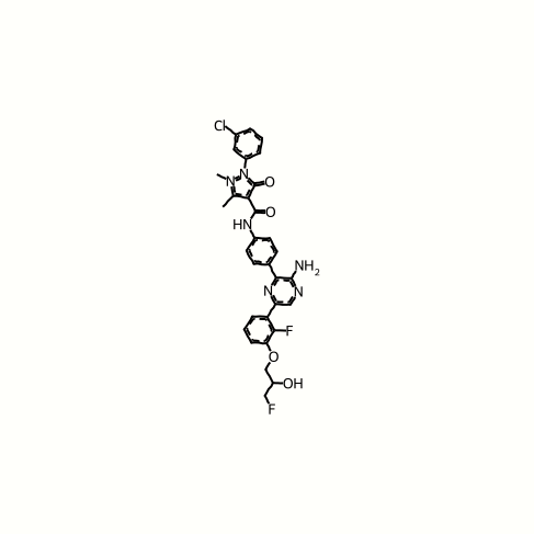 Cc1c(C(=O)Nc2ccc(-c3nc(-c4cccc(OCC(O)CF)c4F)cnc3N)cc2)c(=O)n(-c2cccc(Cl)c2)n1C